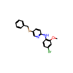 COc1cc(Br)ccc1Nc1ccc(SCc2ccccc2)cn1